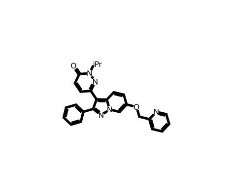 CC(C)n1nc(-c2c(-c3ccccc3)nn3cc(OCc4ccccn4)ccc23)ccc1=O